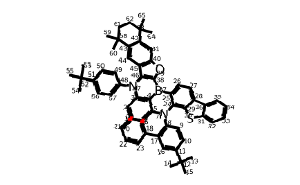 Cc1cc2c3c(c1)N(c1ccc(C(C)(C)C)cc1-c1ccccc1)c1c(ccc4c1sc1ccccc14)B3c1oc3cc4c(cc3c1N2c1ccc(C(C)(C)C)cc1)C(C)(C)CCC4(C)C